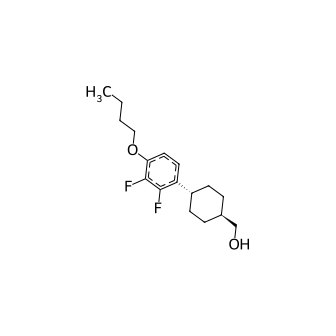 CCCCOc1ccc([C@H]2CC[C@H](CO)CC2)c(F)c1F